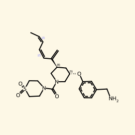 C=C(/C=C\C=C/C)[C@H]1C[C@H](Oc2cccc(CN)c2)CN(C(=O)N2CCS(=O)(=O)CC2)C1